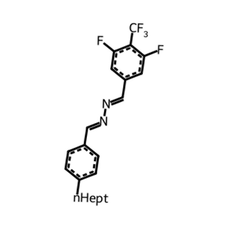 CCCCCCCc1ccc(C=NN=Cc2cc(F)c(C(F)(F)F)c(F)c2)cc1